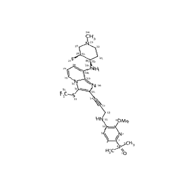 COc1nc(P(C)(C)=O)ccc1NCC#Cc1nc2c(N[C@@H]3CCN(C)C[C@@H]3F)cccn2c1SC(F)(F)F